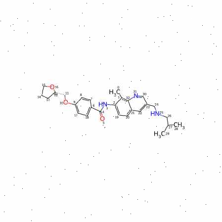 Cc1c(NC(=O)c2ccc(OC[C@@H]3CCCO3)cc2)ccc2cc(CNCC(C)C)cnc12